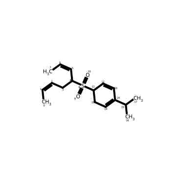 C/C=C\CC(/C=C\C)S(=O)(=O)C1C=CC(C(C)C)=CC1